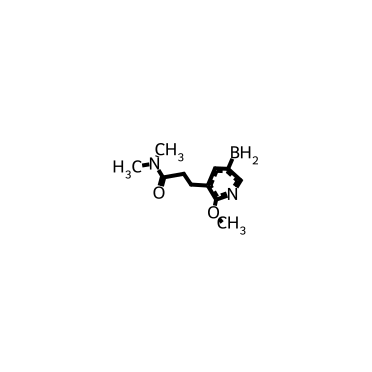 Bc1cnc(OC)c(CCC(=O)N(C)C)c1